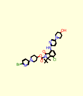 CC(C)(C)C1(C)c2c(Cl)ccc(Nc3ccc(N4CCC(O)CC4)cn3)c2C(=O)N1C(=O)OC1CCN(c2ccc(Br)nc2)CC1